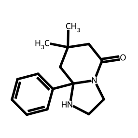 CC1(C)CC(=O)N2CCNC2(c2ccccc2)C1